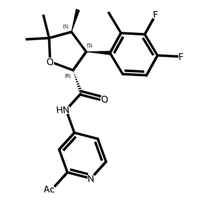 CC(=O)c1cc(NC(=O)[C@@H]2OC(C)(C)[C@@H](C)[C@H]2c2ccc(F)c(F)c2C)ccn1